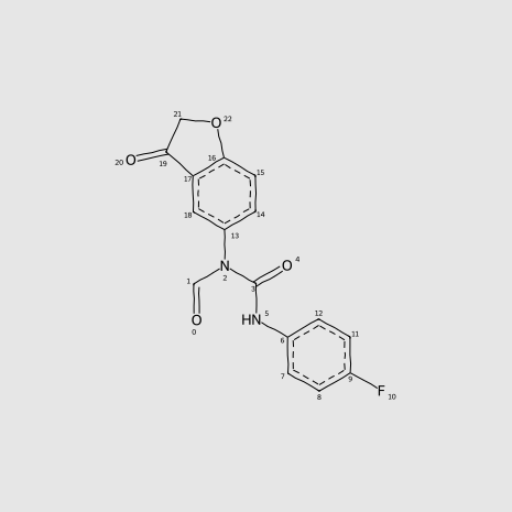 O=CN(C(=O)Nc1ccc(F)cc1)c1ccc2c(c1)C(=O)CO2